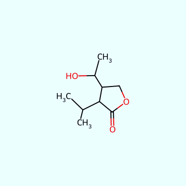 CC(C)C1C(=O)OCC1C(C)O